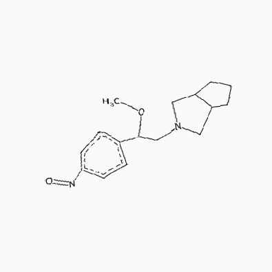 COC(CN1CC2CCCC2C1)c1ccc(N=O)cc1